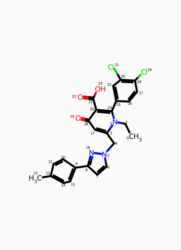 CCn1c(Cn2ccc(-c3ccc(C)cc3)n2)cc(=O)c(C(=O)O)c1-c1ccc(Cl)c(Cl)c1